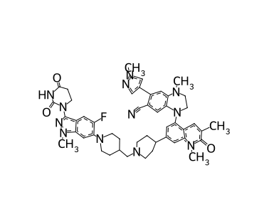 Cc1cc2c(N3CCN(C)c4cc(-c5cnn(C)c5)c(C#N)cc43)cc(C3CCN(CC4CCN(c5cc6c(cc5F)c(N5CCC(=O)NC5=O)nn6C)CC4)CC3)cc2n(C)c1=O